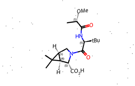 CO[C@@H](C)C(=O)N[C@H](C(=O)N1C[C@H]2[C@@H]([C@H]1C(=O)O)C2(C)C)C(C)(C)C